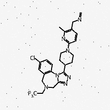 C=NCc1ccc(N2CCC(c3nnc4n3-c3ccc(Cl)cc3CN(CC(F)(F)F)C4)CC2)nc1C